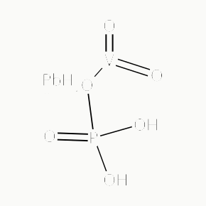 [O]=[V](=[O])[O]P(=O)(O)O.[PbH2]